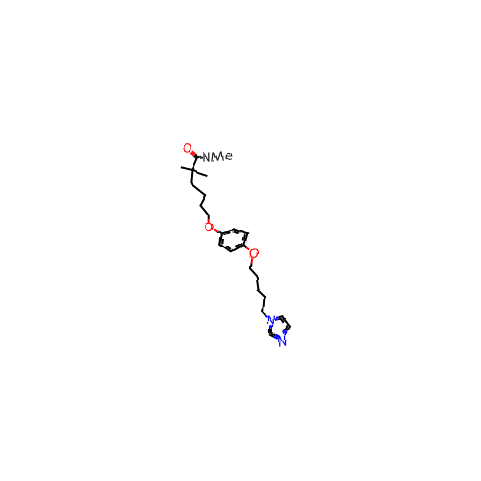 CNC(=O)C(C)(C)CCCCOc1ccc(OCCCCCn2ccnc2)cc1